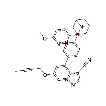 CC#CCOc1cc(-c2ccc(N3CC4CC(C3)N4Cc3ccc(OC)nc3)nc2)c2c(C#N)cnn2c1